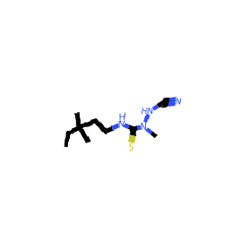 CCC(C)(C)CCNC(=S)N(C)NC#N